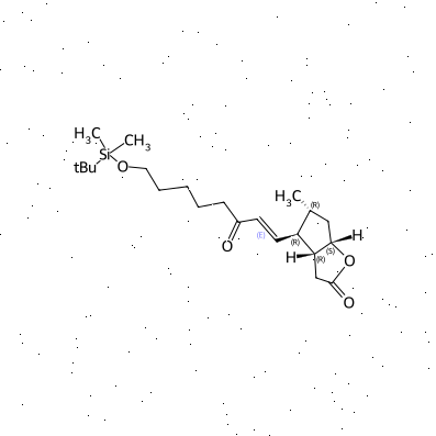 C[C@@H]1C[C@@H]2OC(=O)C[C@@H]2[C@H]1/C=C/C(=O)CCCCCO[Si](C)(C)C(C)(C)C